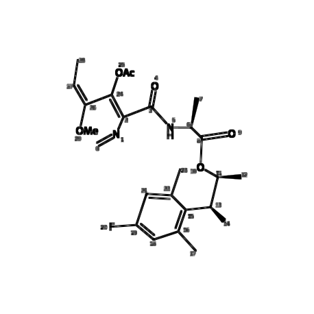 C=N/C(C(=O)N[C@@H](C)C(=O)O[C@@H](C)[C@@H](C)c1c(C)cc(F)cc1C)=C(OC(C)=O)\C(=C/C)OC